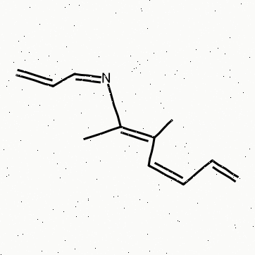 C=C\C=C/C(C)=C(C)/N=C\C=C